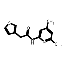 Cc1cc(C)nc(NC(=O)Cc2ccsc2)c1